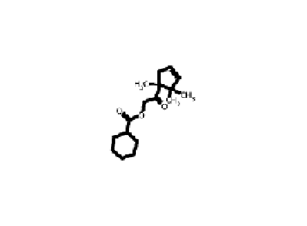 CC1(C)C=CC[C@@]1(C)C(=O)COC(=O)C1CCCCC1